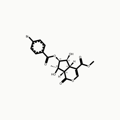 COC(=O)C1=COC(=O)[C@H]2[C@@H]1[C@H](O)[C@H](OC(=O)c1ccc(Br)cc1)[C@]2(C)O